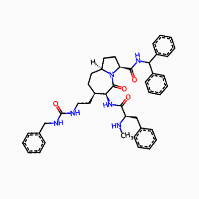 CN[C@H](Cc1ccccc1)C(=O)N[C@@H]1C(=O)N2[C@@H](CC[C@@H]1CCNC(=O)NCc1ccccc1)CC[C@H]2C(=O)NC(c1ccccc1)c1ccccc1